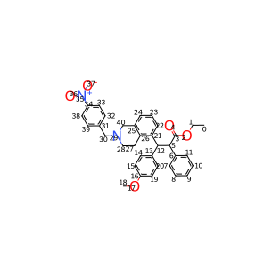 CCOC(=O)C(c1ccccc1)C(c1ccc(OC)cc1)c1cccc2c1CCN(Cc1ccc([N+](=O)[O-])cc1)C2